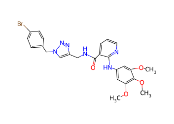 COc1cc(Nc2ncccc2C(=O)NCc2cn(Cc3ccc(Br)cc3)nn2)cc(OC)c1OC